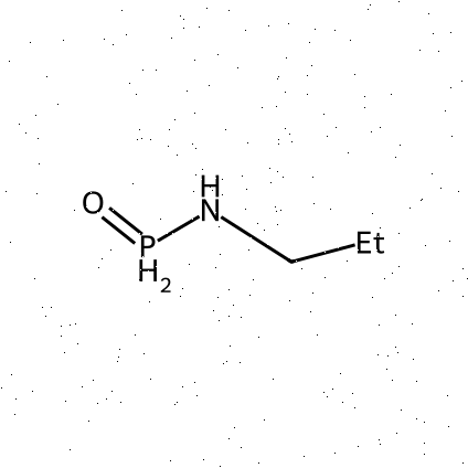 CCCN[PH2]=O